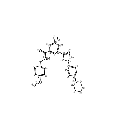 COc1ccc(CNC(=O)c2cc(C3=NOC(c4ccc(N5CCCCC5)cc4)C3)nc(C)n2)cc1